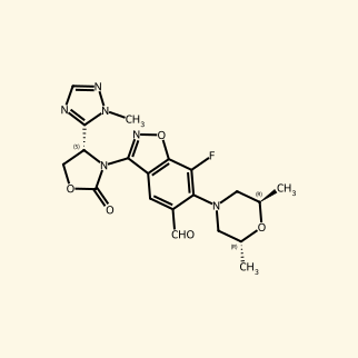 C[C@@H]1CN(c2c(C=O)cc3c(N4C(=O)OC[C@@H]4c4ncnn4C)noc3c2F)C[C@@H](C)O1